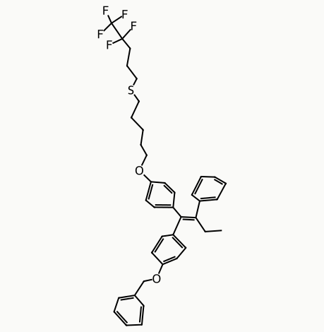 CC/C(=C(/c1ccc(OCCCCCSCCCC(F)(F)C(F)(F)F)cc1)c1ccc(OCc2ccccc2)cc1)c1ccccc1